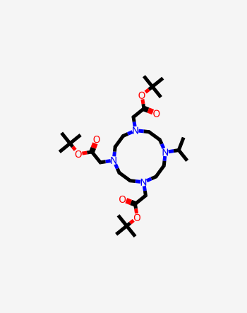 CC(C)N1CCN(CC(=O)OC(C)(C)C)CCN(CC(=O)OC(C)(C)C)CCN(CC(=O)OC(C)(C)C)CC1